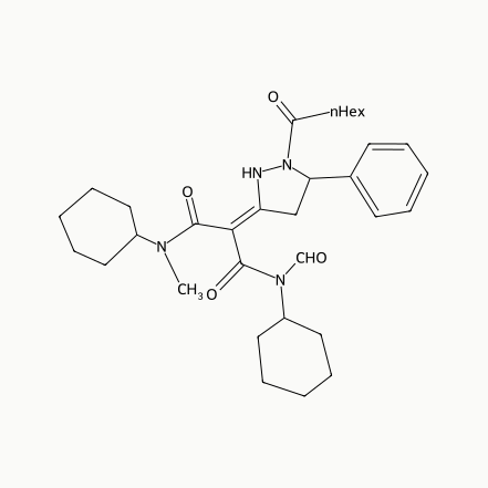 CCCCCCC(=O)N1N/C(=C(\C(=O)N(C)C2CCCCC2)C(=O)N(C=O)C2CCCCC2)CC1c1ccccc1